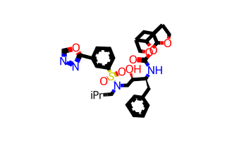 CC(C)CN(C[C@@H](O)[C@H](Cc1ccccc1)NC(=O)OC1C2COC3OCC1C3C2)S(=O)(=O)c1cccc(-c2nnco2)c1